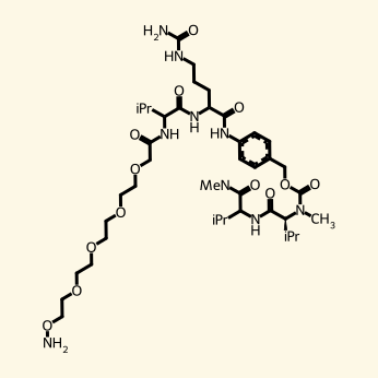 CNC(=O)C(NC(=O)[C@H](C(C)C)N(C)C(=O)OCc1ccc(NC(=O)C(CCCNC(N)=O)NC(=O)C(NC(=O)COCCOCCOCCOCCON)C(C)C)cc1)C(C)C